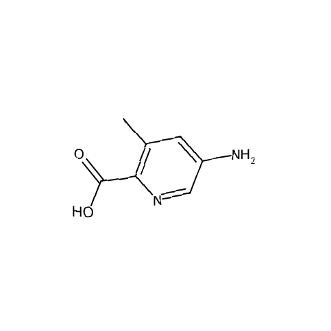 Cc1cc(N)cnc1C(=O)O